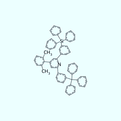 Cc1cccc(C)c1-c1cc(-c2cccc(C(c3ccccc3)(c3ccccc3)c3ccccc3)c2)nc(-c2cccc([Si](c3ccccc3)(c3ccccc3)c3ccccc3)c2)c1